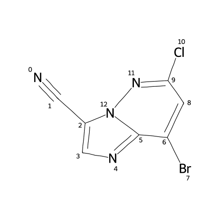 N#Cc1cnc2c(Br)cc(Cl)nn12